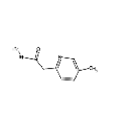 Cc1ccc(CC(=O)NC(C)C)nc1